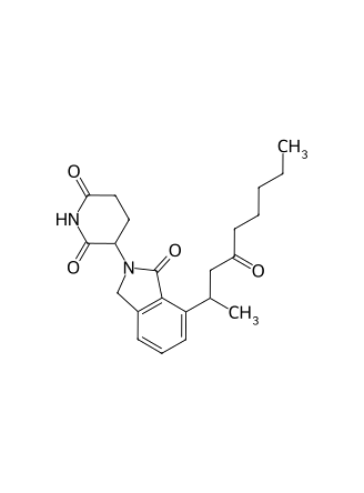 CCCCCC(=O)CC(C)c1cccc2c1C(=O)N(C1CCC(=O)NC1=O)C2